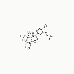 CC(C)(C)C(NC(=O)c1cc(OCC(F)(F)F)c(C2CC2)cn1)C(=O)N1CCCOC1